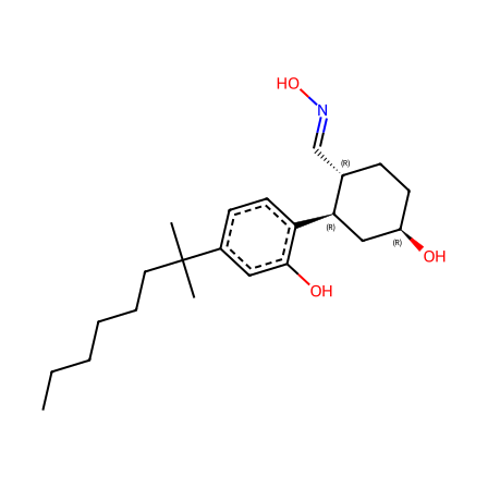 CCCCCCC(C)(C)c1ccc([C@@H]2C[C@H](O)CC[C@H]2C=NO)c(O)c1